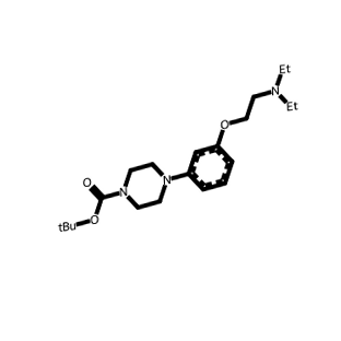 CCN(CC)CCOc1cccc(N2CCN(C(=O)OC(C)(C)C)CC2)c1